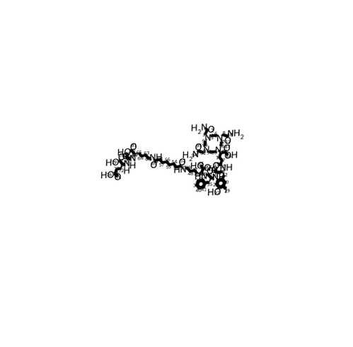 NC(=O)CN1CCN(CC(N)=O)CCN(C(CCC(=O)N[C@H](Cc2ccc(O)c(I)c2)C(=O)N[C@H](Cc2ccccc2)C(=O)N[C@H](CCCCNC(=O)CCCCCCC(=O)NCCCC[C@H](NC(=O)N[C@@H](CCC(=O)O)C(=O)O)C(=O)O)C(=O)O)C(=O)O)CCN(CC(N)=O)CC1